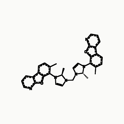 Cc1ccc2c(oc3ncccc32)c1N1C=CN(CN2C=CN(c3c(C)ccc4c3oc3ncccc34)[C@H]2C)[C@H]1C